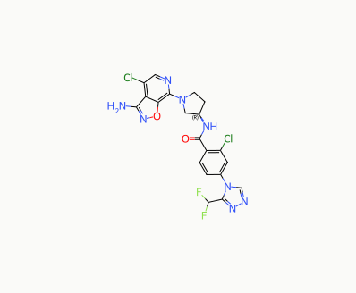 Nc1noc2c(N3CC[C@@H](NC(=O)c4ccc(-n5cnnc5C(F)F)cc4Cl)C3)ncc(Cl)c12